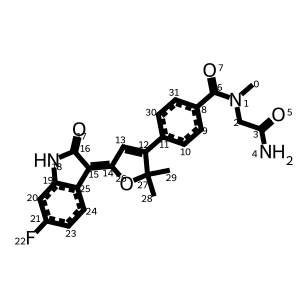 CN(CC(N)=O)C(=O)c1ccc(C2=C/C(=C3\C(=O)Nc4cc(F)ccc43)OC2(C)C)cc1